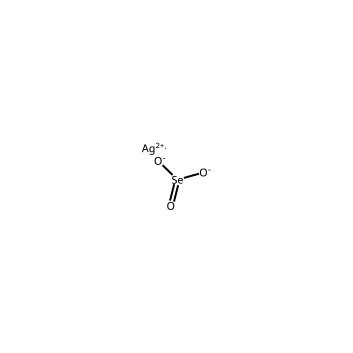 O=[Se]([O-])[O-].[Ag+2]